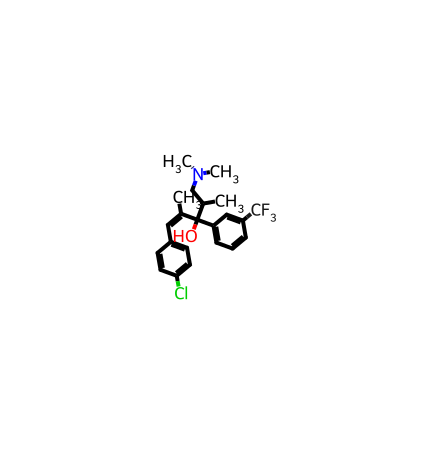 CC(=Cc1ccc(Cl)cc1)C(O)(c1cccc(C(F)(F)F)c1)C(C)CN(C)C